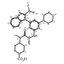 CCOC(=O)N1CCC(N(C)C(=O)[C@H](C)Nc2nc(N3CCOCC3)cc(-n3c(C(F)F)nc4ccccc43)n2)CC1